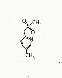 Cc1ccc(CS(C)(=O)=O)nc1